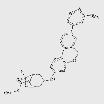 COc1cc(-c2ccc3c(c2)COc2nc(NC4CC5CC(F)(F)C(C4)N5C(=O)OC(C)(C)C)ccc2-3)cnn1